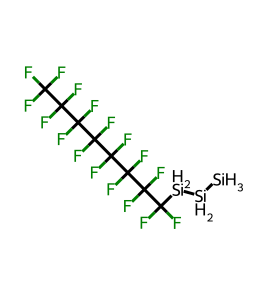 FC(F)(F)C(F)(F)C(F)(F)C(F)(F)C(F)(F)C(F)(F)C(F)(F)C(F)(F)[SiH2][SiH2][SiH3]